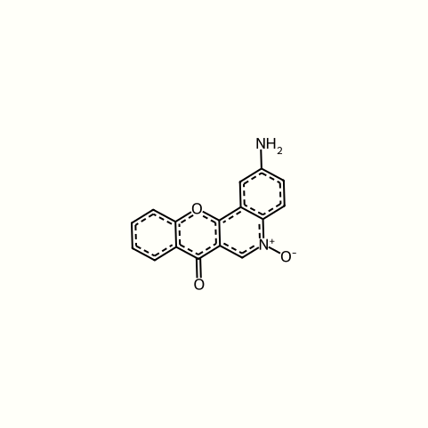 Nc1ccc2c(c1)c1oc3ccccc3c(=O)c1c[n+]2[O-]